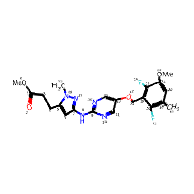 COC(=O)CCc1cc(Nc2ncc(OCc3c(F)c(C)cc(OC)c3F)cn2)nn1C